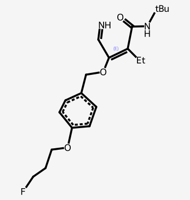 CC/C(C(=O)NC(C)(C)C)=C(/C=N)OCc1ccc(OCCCF)cc1